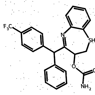 NC(=O)OC1C[SH4]c2ccccc2N=C1C(c1ccccc1)c1ccc(C(F)(F)F)cc1